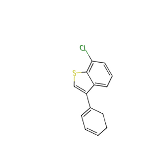 Clc1cccc2c(C3=CC=CCC3)csc12